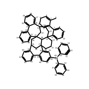 CC1=CCCC=C1c1ccccc1C12CCCC34CC(CC5(CC(CC1)c1ccccc1-c1ccccc15)C23)c1ccccc1-c1ccc(N(c2c#cccc2)c2ccccc2)cc14